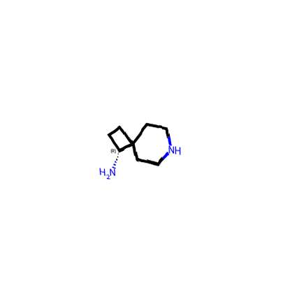 N[C@@H]1CCC12CCNCC2